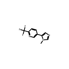 Cn1cncc1-c1ccc(C(F)(F)F)nc1